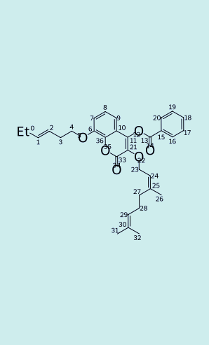 CCC=CCCOc1cccc2c(OC(=O)c3ccccc3)c(OCC=C(C)CCC=C(C)C)c(=O)oc12